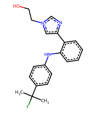 CC(C)(F)c1ccc(Nc2ccccc2-c2cn(CCO)cn2)cc1